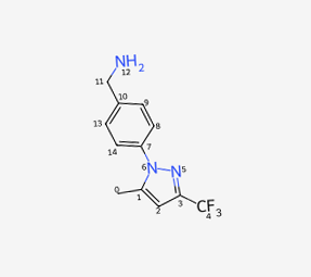 Cc1cc(C(F)(F)F)nn1-c1ccc(CN)cc1